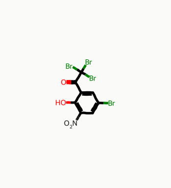 O=C(c1cc(Br)cc([N+](=O)[O-])c1O)C(Br)(Br)Br